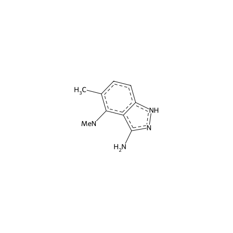 CNc1c(C)ccc2[nH]nc(N)c12